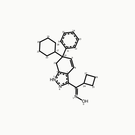 O/N=C(/c1n[nH]c2c1C=CC(c1ccccc1)(C1CCCCC1)C2)C1CCC1